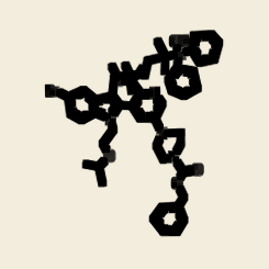 CO[C@@H](C)c1ncc(N2CCN(C(=O)OCc3ccccc3)CC2)cc1-c1c(CC(C)(C)CCC(C)(C)[Si](O)(c2ccccc2)c2ccccc2)c2cc(Br)ccc2n1CCOC(C)C